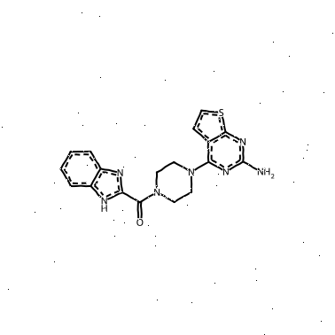 Nc1nc(N2CCN(C(=O)c3nc4ccccc4[nH]3)CC2)c2ccsc2n1